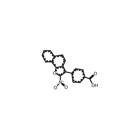 O=C(O)c1ccc(-c2c([N+](=O)[O-])oc3c2ccc2ccccc23)cc1